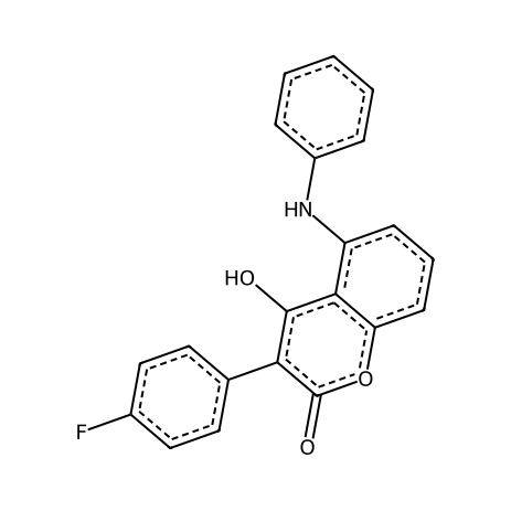 O=c1oc2cccc(Nc3ccccc3)c2c(O)c1-c1ccc(F)cc1